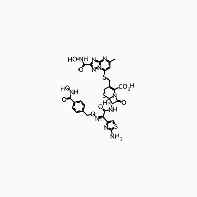 Cc1cc(SCC2=C(C(=O)O)N3C(=O)[C@@H](NC(=O)/C(=N\OCc4ccc(C(=O)NO)cc4)c4csc(N)n4)[C@H]3SC2)n2nc(C(=O)NO)nc2n1